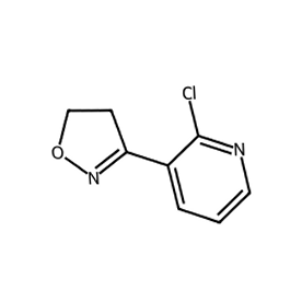 Clc1ncccc1C1=NOCC1